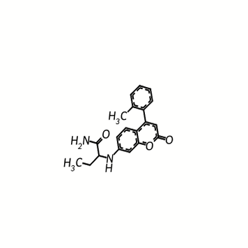 CCC(Nc1ccc2c(-c3ccccc3C)cc(=O)oc2c1)C(N)=O